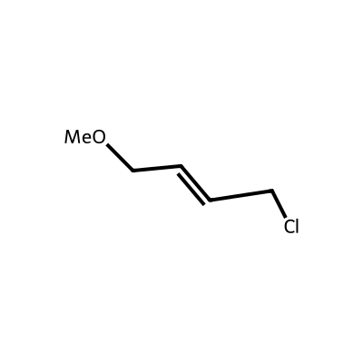 COC/C=C/CCl